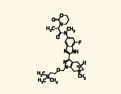 CC(C(=O)N(C)c1cc(F)c2[nH]c(-c3nn(COCC[Si](C)(C)C)c4c3C[C@@H]3C[C@]3(C)C4)nc2c1)N1CCCOC1=O